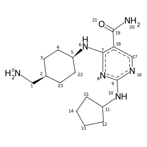 NC[C@H]1CC[C@@H](Nc2nc(NC3CCCC3)ncc2C(N)=O)CC1